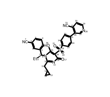 CC[C@@H](c1cccc(C#N)c1)n1c(CC2CC2)nc(=O)c(S(=O)(=O)c2ccc(-c3cnccc3C#N)cc2)c1O